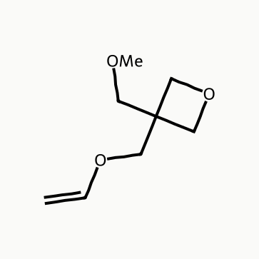 C=COCC1(COC)COC1